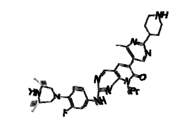 Cc1nc(C2CCNCC2)ncc1-c1cc2cnc(Nc3ccc(N4C[C@@H](C)N[C@@H](C)C4)c(F)c3)nc2n(C(C)C)c1=O